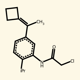 CC(=C1CCC1)c1ccc(C(C)C)c(NC(=O)CCl)c1